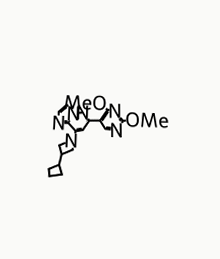 COc1ncc(-c2cc(N3CC(C4CCC4)C3)c3nccn3n2)c(OC)n1